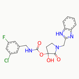 O=C(NCc1cc(F)cc(Cl)c1)OC1(O)CCN(Cc2nc3ccccc3[nH]2)C1=O